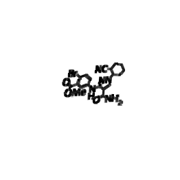 COC(=O)c1cc(Nc2nn(C3CCCCC3C#N)cc2C(N)=O)ccc1Br